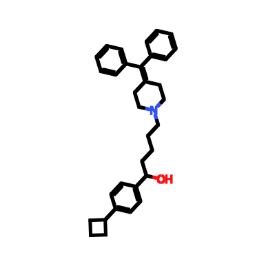 OC(CCCCN1CCC(=C(c2ccccc2)c2ccccc2)CC1)c1ccc(C2CCC2)cc1